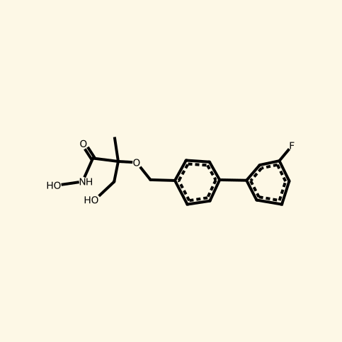 CC(CO)(OCc1ccc(-c2cccc(F)c2)cc1)C(=O)NO